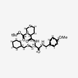 COc1ccc(CNC(=O)[C@H](CSCC2CCCCC2)NC(=O)C2CCSCN2C(=O)OC(C)(C)C)cc1